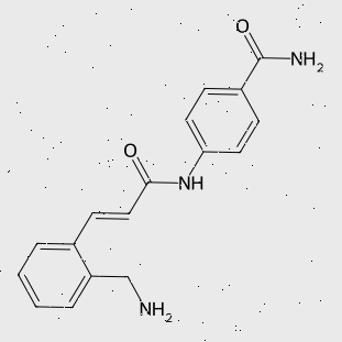 NCc1ccccc1C=CC(=O)Nc1ccc(C(N)=O)cc1